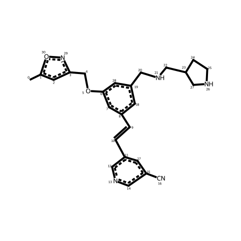 Cc1cc(COc2cc(C=Cc3cncc(C#N)c3)cc(CNCC3CCNC3)c2)no1